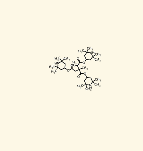 CC(C(=O)OC1CC(C)(C)NC(C)(C)C1)C(C)(CC(=O)OC1CC(C)(C)NC(C)(C)C1)C(=O)OC1CC(C)(C)NC(C)(C)C1